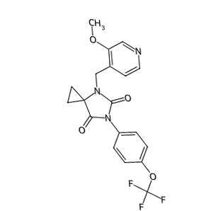 COc1cnccc1CN1C(=O)N(c2ccc(OC(F)(F)F)cc2)C(=O)C12CC2